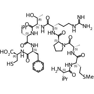 CSCC[C@H](NC(=O)[C@@H](N)C(C)C)C(=O)N[C@@H](C)C(=O)N1CCC[C@H]1C(=O)N[C@@H](CCCNC(=N)N)C(=O)N[C@H](C(=O)N[C@@H](CC(C)C)C(=O)N[C@@H](Cc1ccccc1)C(=O)N[C@@H](CS)C(=O)O)[C@@H](C)O